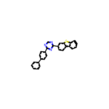 c1ccc2c(c#1)sc1cc(-c3ncnc(-c4ccc(-c5ccccc5)cc4)n3)ccc12